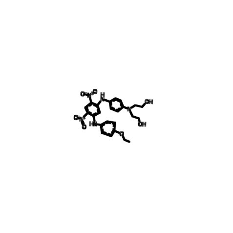 CCOc1ccc(Nc2cc(Nc3ccc(N(CCO)CCO)cc3)c([N+](=O)[O-])cc2[N+](=O)[O-])cc1